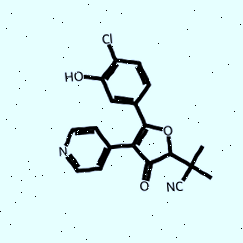 CC(C)(C#N)C1OC(c2ccc(Cl)c(O)c2)=C(c2ccncc2)C1=O